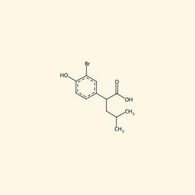 CC(C)CC(C(=O)O)c1ccc(O)c(Br)c1